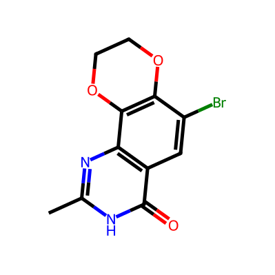 Cc1nc2c3c(c(Br)cc2c(=O)[nH]1)OCCO3